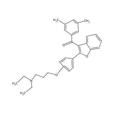 CCN(CC)CCCOc1ccc(-c2oc3ccccc3c2C(=O)c2cc(C)cc(C)c2)cc1